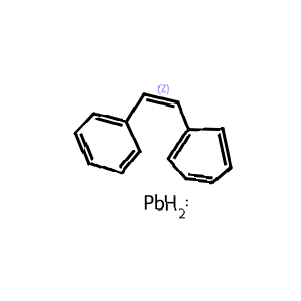 C(=C/c1ccccc1)/c1ccccc1.[PbH2]